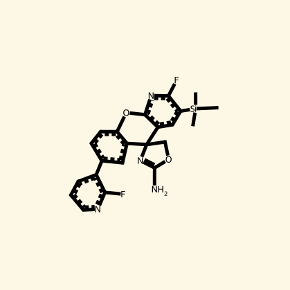 C[Si](C)(C)c1cc2c(nc1F)Oc1ccc(-c3cccnc3F)cc1C21COC(N)=N1